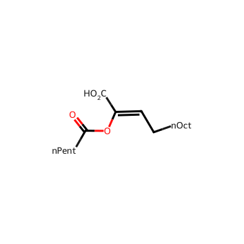 CCCCCCCCCC=C(OC(=O)CCCCC)C(=O)O